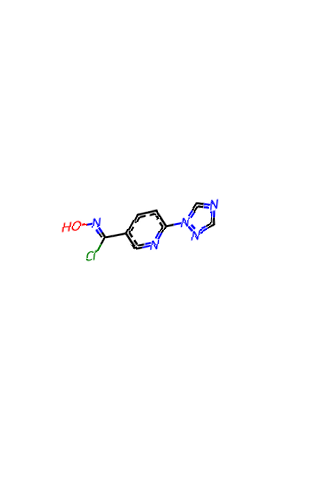 O/N=C(\Cl)c1ccc(-n2cncn2)nc1